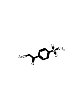 CC(=O)OCC(=O)c1ccc(S(C)(=O)=O)cc1